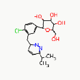 CC(C)c1ccc(Cc2cc(C3OC(CO)C(O)C(O)C3O)ccc2Cl)nn1